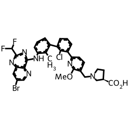 COc1nc(-c2cccc(-c3cccc(Nc4nc(C(F)F)nc5cc(Br)cnc45)c3C)c2Cl)ccc1CN1CC[C@@H](C(=O)O)C1